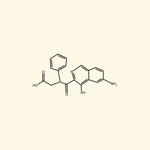 Nc1ccc2cnc(C(=O)N(CC(=O)O)c3ccccc3)c(O)c2c1